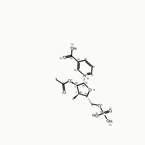 CC(=O)O[C@@H]1[C@H](C)[C@@H](COP(=O)(O)O)O[C@H]1[n+]1cccc(C(=O)O)c1